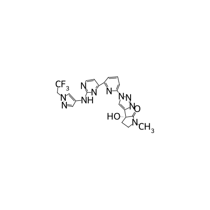 CN1CC[C@@](O)(c2cn(-c3cccc(-c4ccnc(Nc5cnn(CC(F)(F)F)c5)n4)n3)nn2)C1=O